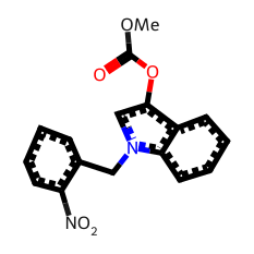 COC(=O)Oc1cn(Cc2ccccc2[N+](=O)[O-])c2ccccc12